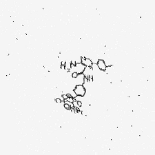 Cc1ccc(-c2cnc(N)c(C(=O)Nc3ccc(S(=O)(=O)C(C(C)C)P(=O)(O)O)cc3)n2)cc1